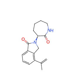 C=C(C)c1cccc2c1CN([C@H]1CCCCNC1=O)C2=O